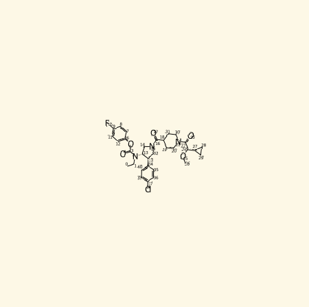 CCN(C(=O)Oc1ccc(F)cc1)[C@@H]1CN(C(=O)C2CCN(C(=O)C(OC)C3CC3)CC2)C[C@H]1c1ccc(Cl)cc1